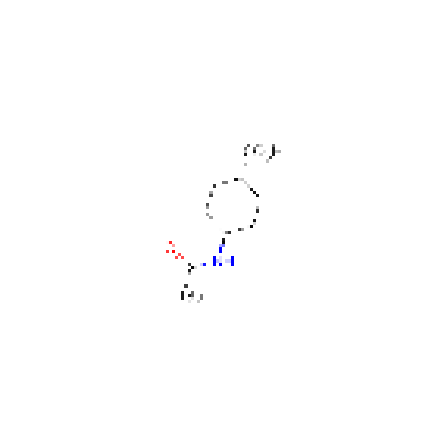 CC(C)(C)C(=O)N[C@H]1CC[C@H](C(=O)O)CC1